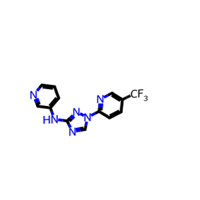 FC(F)(F)c1ccc(-n2cnc(Nc3cccnc3)n2)nc1